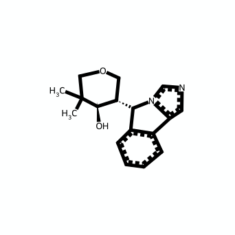 CC1(C)COC[C@H](C2c3ccccc3-c3cncn32)[C@H]1O